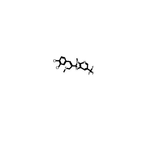 CSC/C(=C\c1ccc(Cl)c(Cl)c1)c1nc2cc(C(F)(F)F)cnc2n1C